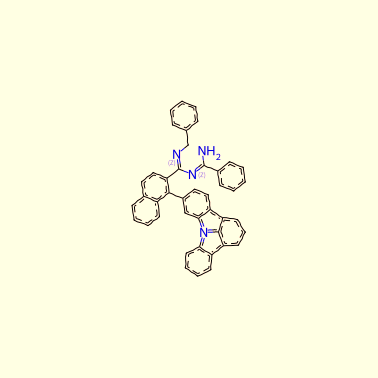 N/C(=N\C(=N/Cc1ccccc1)c1ccc2ccccc2c1-c1ccc2c3cccc4c5ccccc5n(c2c1)c43)c1ccccc1